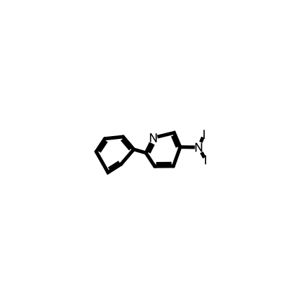 IN(I)c1ccc(-c2ccccc2)nc1